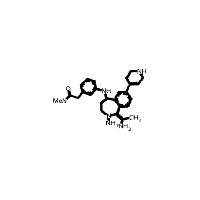 CNC(=O)Cc1cccc(NC2CCN(N)/C(=C(/C)N)c3ccc(C4=CCNCC4)cc32)c1